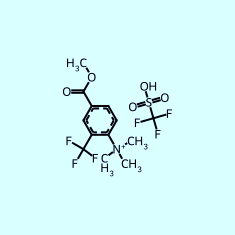 COC(=O)c1ccc([N+](C)(C)C)c(C(F)(F)F)c1.O=S(=O)(O)C(F)(F)F